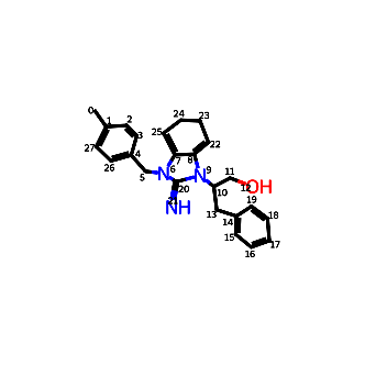 Cc1ccc(Cn2c3c(n(C(CO)Cc4ccccc4)c2=N)=CCCC=3)cc1